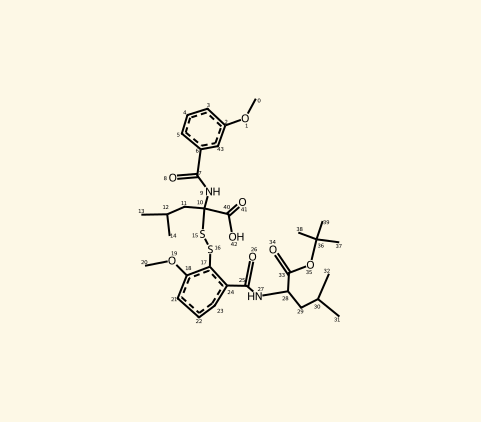 COc1cccc(C(=O)NC(CC(C)C)(SSc2c(OC)cccc2C(=O)NC(CC(C)C)C(=O)OC(C)(C)C)C(=O)O)c1